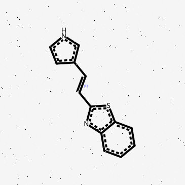 C(=C\c1nc2ccccc2s1)/c1cc[nH]c1